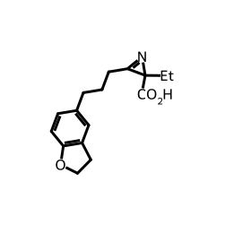 CCC1(C(=O)O)N=C1CCCc1ccc2c(c1)CCO2